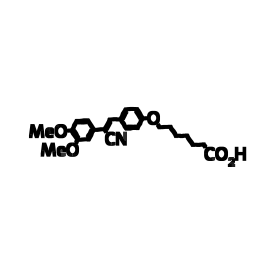 COc1ccc(C(C#N)=Cc2ccc(OCCCCCCC(=O)O)cc2)cc1OC